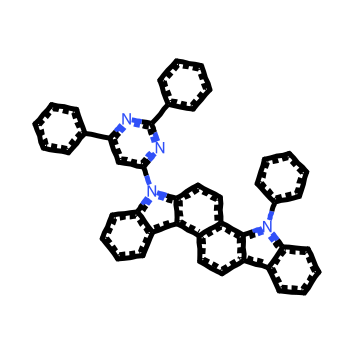 c1ccc(-c2cc(-n3c4ccccc4c4c5ccc6c7ccccc7n(-c7ccccc7)c6c5ccc43)nc(-c3ccccc3)n2)cc1